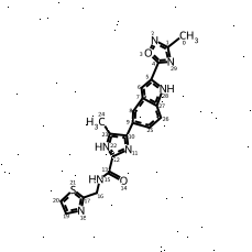 Cc1noc(-c2cc3cc(-c4nc(C(=O)NCc5nccs5)[nH]c4C)ccc3[nH]2)n1